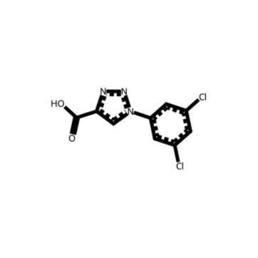 O=C(O)c1cn(-c2cc(Cl)cc(Cl)c2)nn1